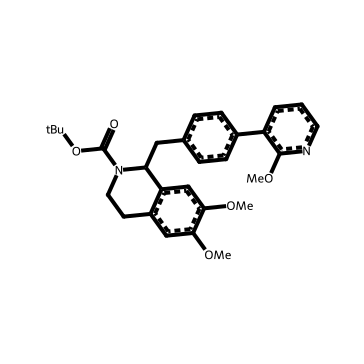 COc1cc2c(cc1OC)C(Cc1ccc(-c3cccnc3OC)cc1)N(C(=O)OC(C)(C)C)CC2